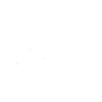 BrC(OCc1ccccc1)(OCc1ccccc1)c1ccccc1